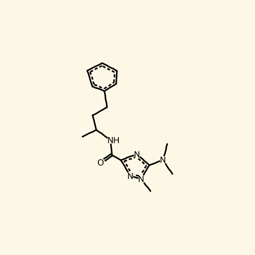 CC(CCc1ccccc1)NC(=O)c1nc(N(C)C)n(C)n1